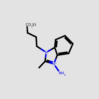 CCOC(=O)CCCn1c(C)[n+](N)c2ccccc21